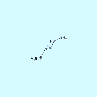 BB/C=C/BB